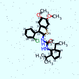 COc1cc2sc(NC(=O)Nc3c(C(C)C)cccc3C(C)C)c(-c3ccccc3Cl)c2cc1OC